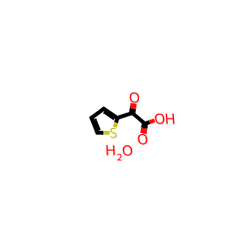 O.O=C(O)C(=O)c1cccs1